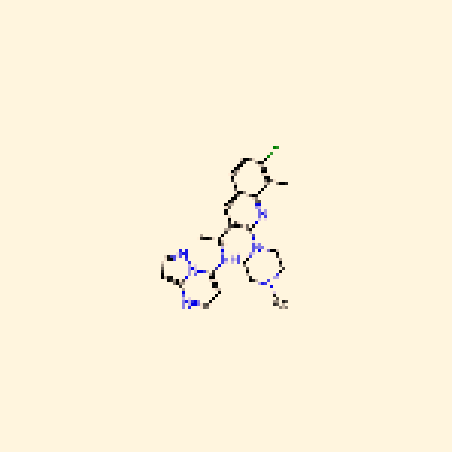 CC(=O)N1CCN(c2nc3c(C)c(F)ccc3cc2[C@H](C)Nc2ccnc3ccnn23)CC1